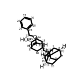 O=C(NC[C@]12CC3C[C@H](C1)[C@@H](N[C@H]1CC[C@@H](O)CC1)[C@@H](C3)C2)OCc1ccccc1